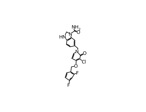 NC(=O)N1CNc2ccc(Cn3ccc(OCc4ccc(F)cc4F)c(Cl)c3=O)cc21